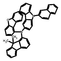 CC1(C)c2ccccc2-c2cccc(N(c3ccc4c(c3)c3ccccc3n4-c3ccc4ccccc4c3)c3cccc4oc5ccccc5c34)c21